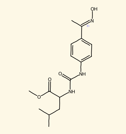 COC(=O)C(CC(C)C)NC(=O)Nc1ccc(/C(C)=N/O)cc1